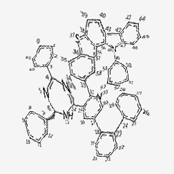 c1ccc(C2=NC(c3ccccc3)NC(c3cc(-c4ccccc4-c4ccccc4)cnc3-c3ccc4sc5ccc6c7ccccc7n(-c7ccccc7)c6c5c4c3)=N2)cc1